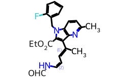 CCOC(=O)c1c(/C(C)=C/C=C\NC=O)c2nc(C)ccc2n1Cc1ccccc1F